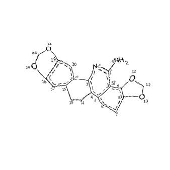 Nc1nc2c(c3ccc4c(c13)OCO4)CCc1cc3c(cc1-2)OCO3